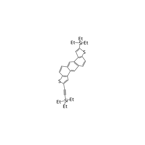 CC[Si](C#Cc1cc2c(ccc3cc4c(ccc5sc([Si](CC)(CC)CC)cc54)cc32)s1)(CC)CC